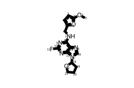 COc1ccc(CNc2nc(F)nc3c2ncn3C2CCCO2)o1